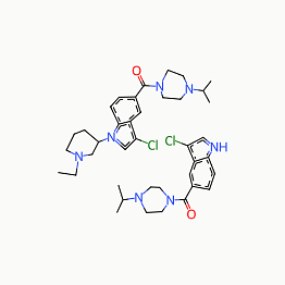 CC(C)N1CCN(C(=O)c2ccc3[nH]cc(Cl)c3c2)CC1.CCN1CCCC(n2cc(Cl)c3cc(C(=O)N4CCN(C(C)C)CC4)ccc32)C1